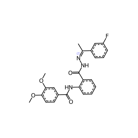 COc1ccc(C(=O)Nc2ccccc2C(=O)N/N=C(/C)c2cccc(F)c2)cc1OC